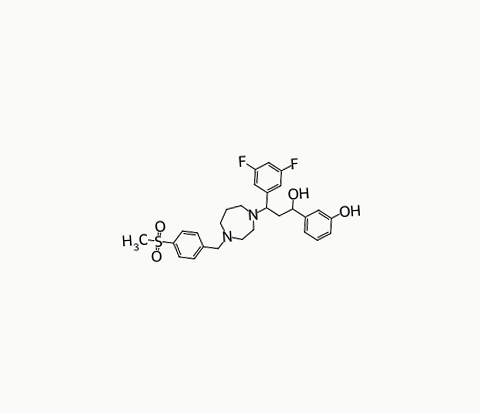 CS(=O)(=O)c1ccc(CN2CCCN(C(CC(O)c3cccc(O)c3)c3cc(F)cc(F)c3)CC2)cc1